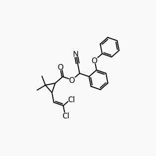 CC1(C)C(C=C(Cl)Cl)C1C(=O)OC(C#N)c1ccccc1Oc1ccccc1